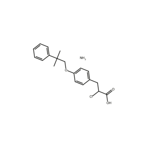 CC(C)(COc1ccc(CC(Cl)C(=O)O)cc1)c1ccccc1.N